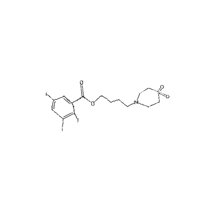 O=C(OCCCCN1CCS(=O)(=O)CC1)c1cc(I)cc(I)c1I